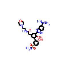 N=C(N)c1ccc2[nH]c(-c3cc(CC(=O)NCCN4CCOCC4)cc(-c4cc(S(N)(=O)=O)ccc4O)c3O)nc2c1